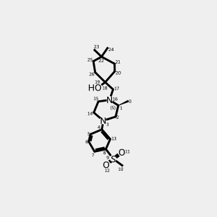 C[C@H]1CN(c2cccc(S(C)(=O)=O)c2)CCN1CC1(O)CCC(C)(C)CC1